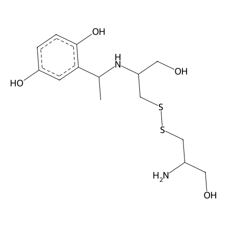 CC(NC(CO)CSSCC(N)CO)c1cc(O)ccc1O